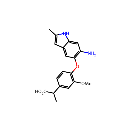 COc1cc(C(C)C(=O)O)ccc1Oc1cc2cc(C)[nH]c2cc1N